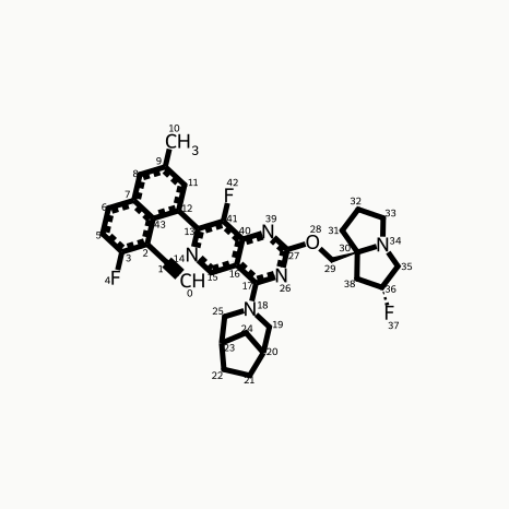 C#Cc1c(F)ccc2cc(C)cc(-c3ncc4c(N5CC6CCC(C6)C5)nc(OC[C@@]56CCCN5C[C@H](F)C6)nc4c3F)c12